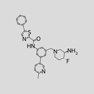 Cc1ccc(-c2cc(CN3CC[C@@H](F)[C@H](N)C3)cc(NC(=O)c3ncc(-c4ccccc4)s3)c2)cn1